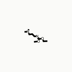 CCOC(=NCCCN(C)C)OC